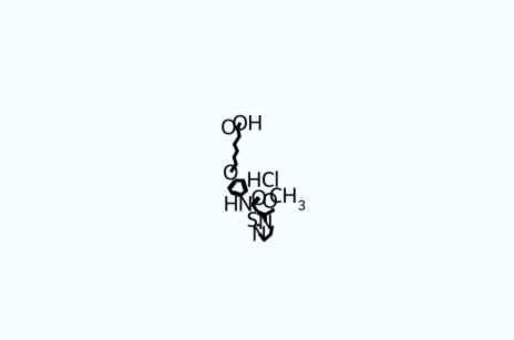 COCC1=C(C(=O)Nc2ccc(OCCCCCC(=O)O)cc2)SC2=NCCCN21.Cl